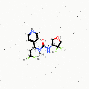 CN(C(=O)N[C@H]1COCC1(F)F)[C@@H](CC(F)F)c1ccncc1